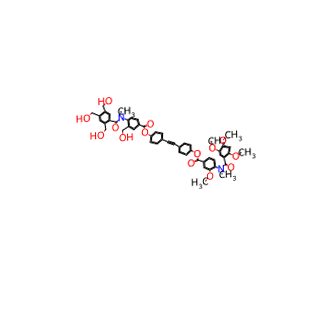 COc1cc(OC)c(C(=O)N(C)c2ccc(C(=O)Oc3ccc(C#Cc4ccc(OC(=O)c5ccc(N(C)C(=O)c6cc(CO)c(CO)cc6CO)c(CO)c5)cc4)cc3)cc2OC)cc1OC